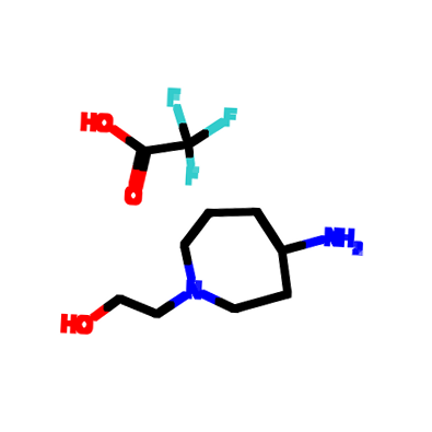 NC1CCCN(CCO)CC1.O=C(O)C(F)(F)F